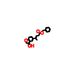 CC(=CCC(=O)OCc1ccccc1)c1ccc2c(c1)[C@@H](O)CO2